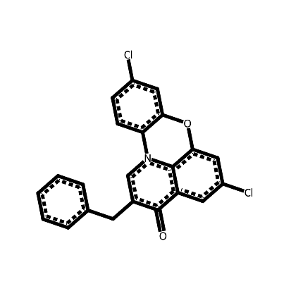 O=c1c(Cc2ccccc2)cn2c3c(cc(Cl)cc13)Oc1cc(Cl)ccc1-2